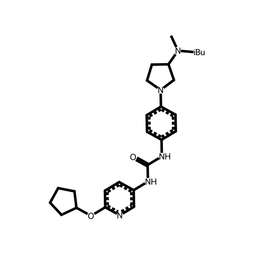 CCC(C)N(C)C1CCN(c2ccc(NC(=O)Nc3ccc(OC4CCCC4)nc3)cc2)C1